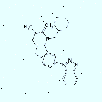 C=C1C(C)CC2Cc3ccc(-n4nnc5ccccc54)cc3C2N1CC1CCCCC1